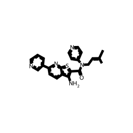 CC(C)=CCN(C(=O)c1sc2nc(-c3cccnc3)ccc2c1N)c1ccncc1